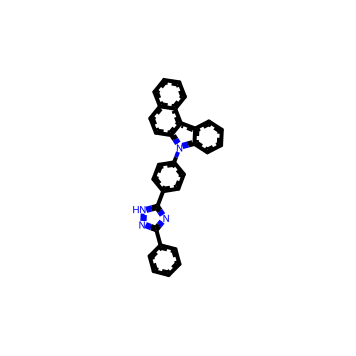 c1ccc(-c2n[nH]c(-c3ccc(-n4c5ccccc5c5c6ccccc6ccc54)cc3)n2)cc1